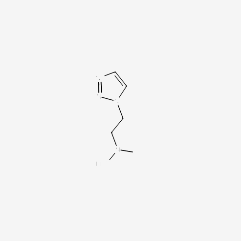 CN(C)CCN1C=C[N+]=N1